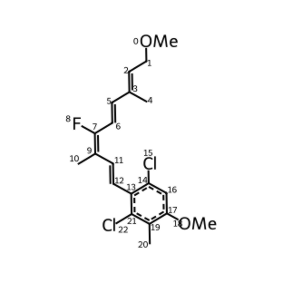 COC/C=C(C)/C=C/C(F)=C(C)\C=C\c1c(Cl)cc(OC)c(C)c1Cl